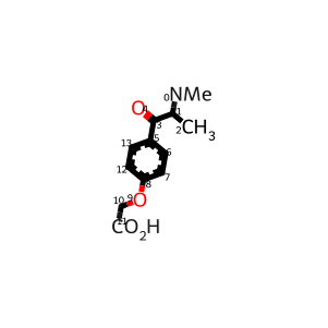 CNC(C)C(=O)c1ccc(OCC(=O)O)cc1